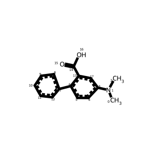 CN(C)c1ccc(-c2ccccc2)c(C(=O)O)c1